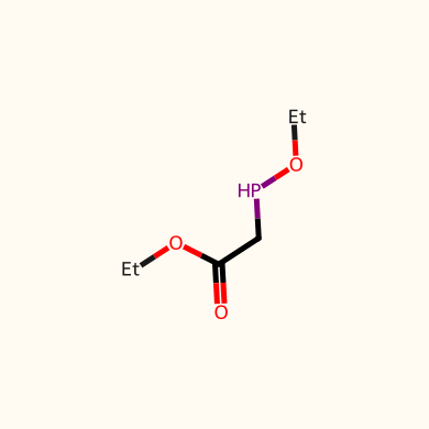 CCOPCC(=O)OCC